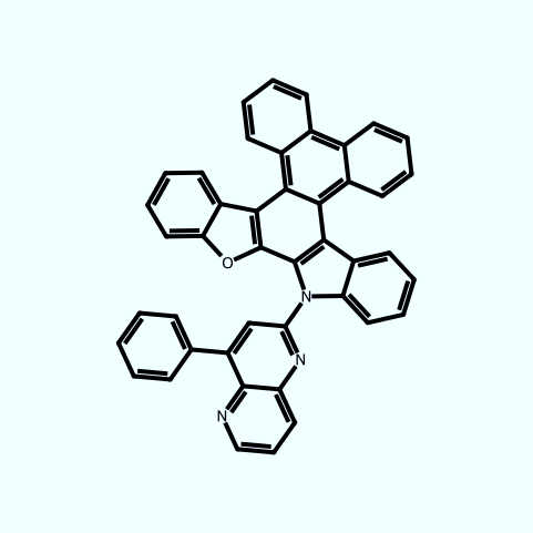 c1ccc(-c2cc(-n3c4ccccc4c4c5c6ccccc6c6ccccc6c5c5c6ccccc6oc5c43)nc3cccnc23)cc1